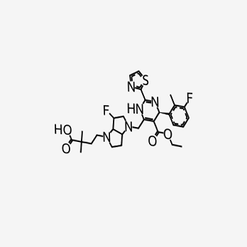 CCOC(=O)C1=C(CN2CC(F)C3C2CCN3CCC(C)(C)C(=O)O)NC(c2nccs2)=N[C@H]1c1cccc(F)c1C